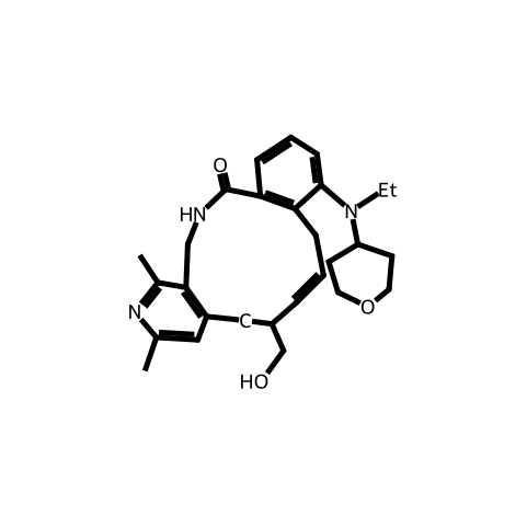 CCN(c1cccc2c1C/C=C\C(CO)Cc1cc(C)nc(C)c1CNC2=O)C1CCOCC1